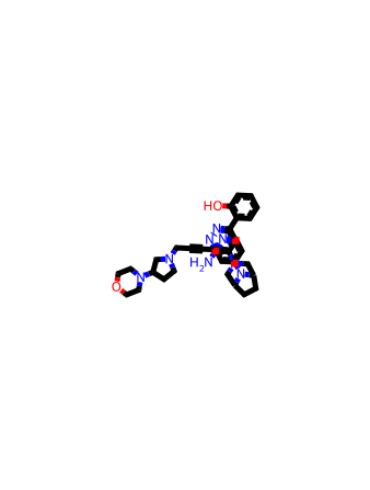 Nc1nnc(-c2ccccc2O)cc1N1CC2CCC(C1)N2c1ccnc(C#CCN2CCC(N3CCOCC3)C2)c1